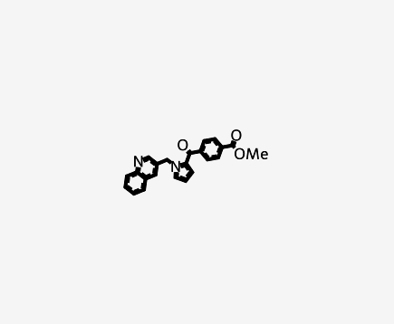 COC(=O)c1ccc(C(=O)c2cccn2Cc2cnc3ccccc3c2)cc1